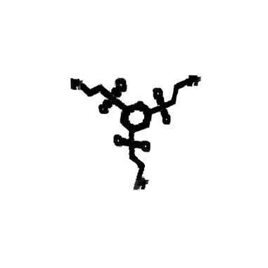 CC(C)CCS(=O)(=O)c1cc(S(=O)(=O)CCC(C)C)cc(S(=O)(=O)CCC(C)C)c1